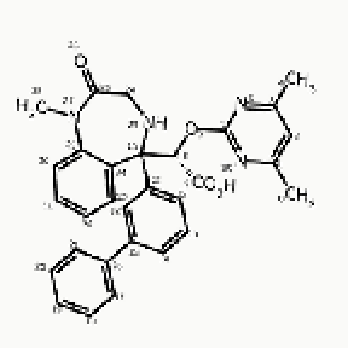 Cc1cc(C)nc(O[C@H](C(=O)O)[C@@]2(c3cccc(-c4ccccc4)c3)NCC(=O)N(C)c3ccccc32)n1